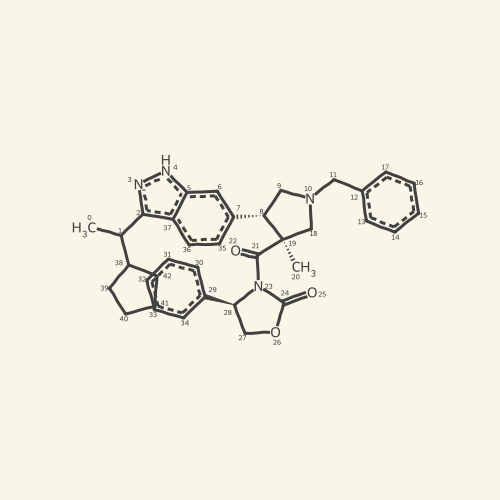 CC(c1n[nH]c2cc([C@@H]3CN(Cc4ccccc4)C[C@@]3(C)C(=O)N3C(=O)OC[C@H]3c3ccccc3)ccc12)C1CCCC1